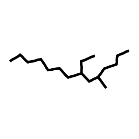 CCCCCCCC([CH]C(C)CCCC)CC